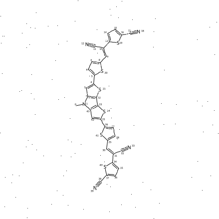 Cn1c2cc(-c3ccc(/C=C(\C#N)c4ccc(C#N)s4)s3)sc2c2sc(-c3ccc(/C=C(\C#N)c4ccc(C#N)s4)s3)cc21